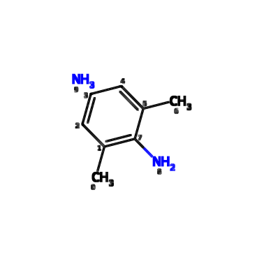 Cc1cccc(C)c1N.N